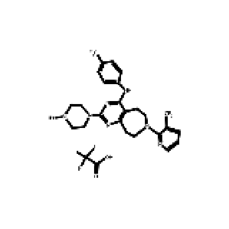 CC(C)N1CCN(c2nc3c(c(Nc4ccc(C(F)(F)F)cc4)n2)CCN(c2ncccc2C(F)(F)F)CC3)CC1.O=C(O)C(F)(F)F